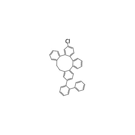 Clc1ccc2c(c1)-c1ccccc1CCc1cc(-c3ccccc3-c3ccccc3)ccc1-c1ccccc1-2